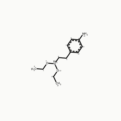 CCO[SiH](CCc1ccc(N)cc1)OCC